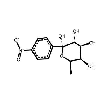 C[C@H]1O[C@@](O)(c2ccc([N+](=O)[O-])cc2)[C@H](O)[C@@H](O)[C@H]1O